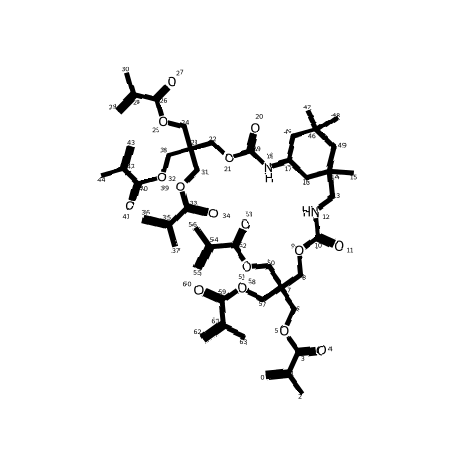 C=C(C)C(=O)OCC(COC(=O)NCC1(C)CC(NC(=O)OCC(COC(=O)C(=C)C)(COC(=O)C(=C)C)COC(=O)C(=C)C)CC(C)(C)C1)(COC(=O)C(=C)C)COC(=O)C(=C)C